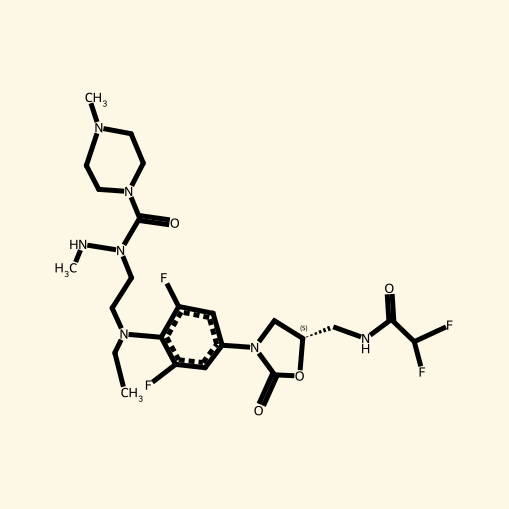 CCN(CCN(NC)C(=O)N1CCN(C)CC1)c1c(F)cc(N2C[C@H](CNC(=O)C(F)F)OC2=O)cc1F